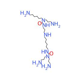 NCCCCCCN(CCCN)C(=O)NCCCNCCCCCCNC(=O)N(CCCN)CCCN